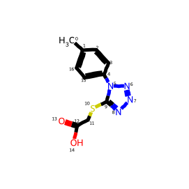 Cc1ccc(-n2nnnc2SCC(=O)O)cc1